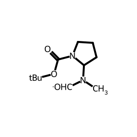 CN([C]=O)C1CCCN1C(=O)OC(C)(C)C